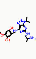 COc1cc(O)c(CNc2nc(NCC(C)N)nc3c2nnn3C(C)C)cc1O